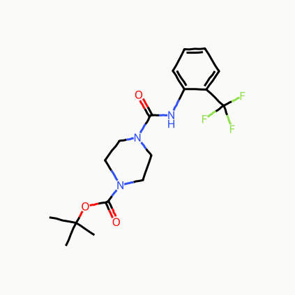 CC(C)(C)OC(=O)N1CCN(C(=O)Nc2ccccc2C(F)(F)F)CC1